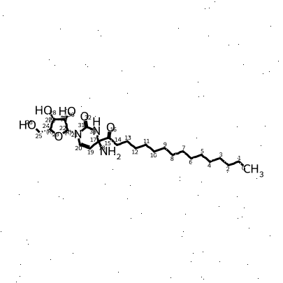 CCCCCCCCCCCCCCCC(=O)C1(N)C=CN([C@@H]2O[C@H](CO)[C@@H](O)[C@H]2O)C(=O)N1